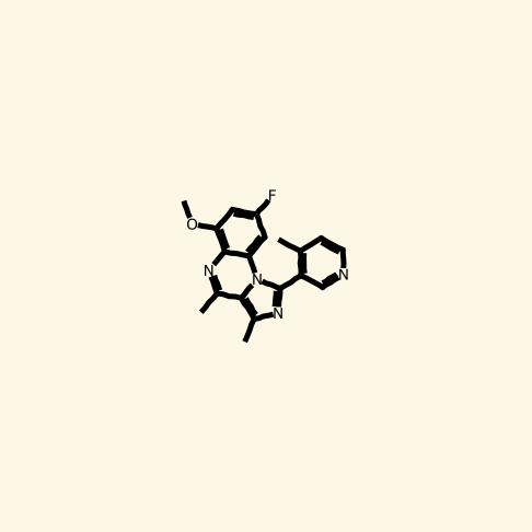 COc1cc(F)cc2c1nc(C)c1c(C)nc(-c3cnccc3C)n12